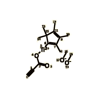 C#CC(=O)[O][Ti+2][C]1=C(C)C(C)=C(C)C1(C)C.C[O-].C[O-]